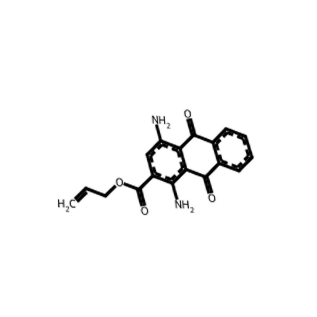 C=CCOC(=O)c1cc(N)c2c(c1N)C(=O)c1ccccc1C2=O